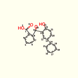 O=C(O)c1ccccc1C(=O)c1cc(-c2ccccc2)ccc1O